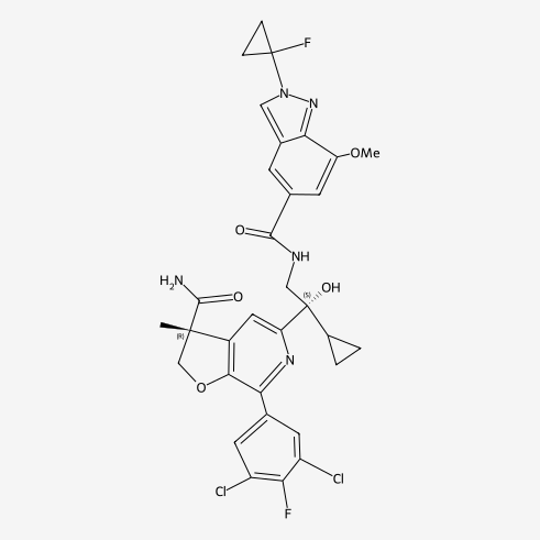 COc1cc(C(=O)NC[C@](O)(c2cc3c(c(-c4cc(Cl)c(F)c(Cl)c4)n2)OC[C@]3(C)C(N)=O)C2CC2)cc2cn(C3(F)CC3)nc12